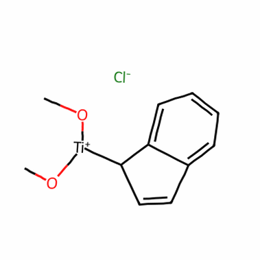 C[O][Ti+]([O]C)[CH]1C=Cc2ccccc21.[Cl-]